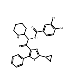 O=C(N[C@H](C(=O)c1nc(C2CC2)sc1-c1ccccc1)C1CCCCN1)c1ccc(Cl)c(Cl)c1